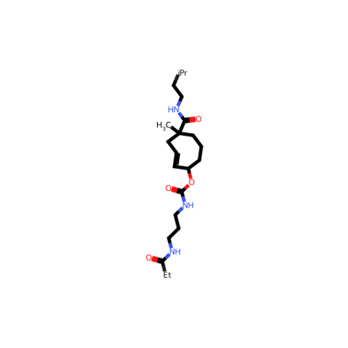 CCC(=O)NCCCNC(=O)OC1/C=C/CC(C)(C(=O)NCCC(C)C)CCC1